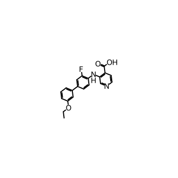 CCOc1cccc(-c2ccc(Nc3cnccc3C(=O)O)c(F)c2)c1